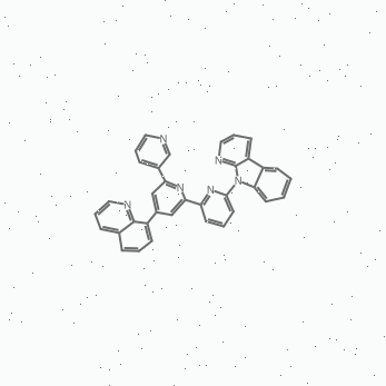 c1cncc(-c2cc(-c3cccc4cccnc34)cc(-c3cccc(-n4c5ccccc5c5cccnc54)n3)n2)c1